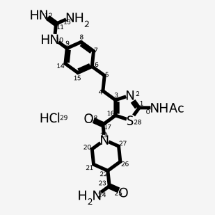 CC(=O)Nc1nc(CCc2ccc(NC(=N)N)cc2)c(C(=O)N2CCC(C(N)=O)CC2)s1.Cl